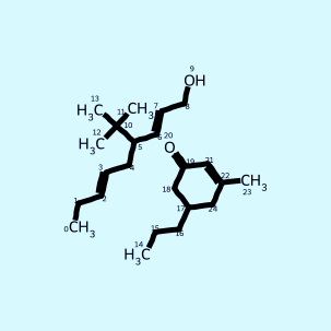 CCC=CCC(C=CCO)C(C)(C)C.CCCC1CC(=O)C=C(C)C1